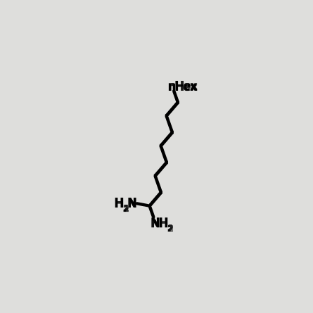 CCCCCCCCCCCCCC(N)N